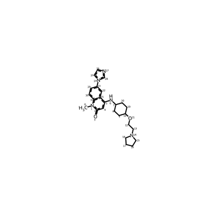 Cn1c(=O)cc(NC2CCC(OCCN3CCCC3)CC2)c2cc(-n3ccnc3)ccc21